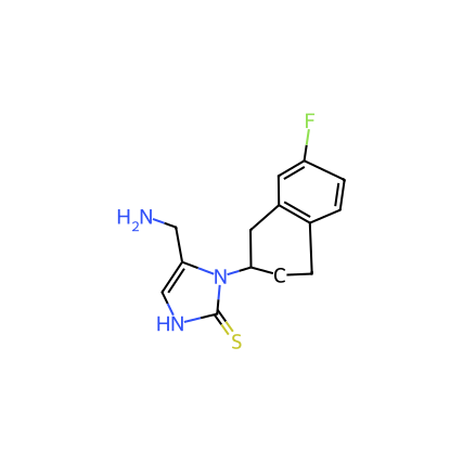 NCc1c[nH]c(=S)n1C1CCc2ccc(F)cc2C1